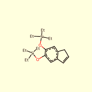 CC[Si](CC)(CC)Oc1cc2c(cc1O[Si](CC)(CC)CC)CC=C2